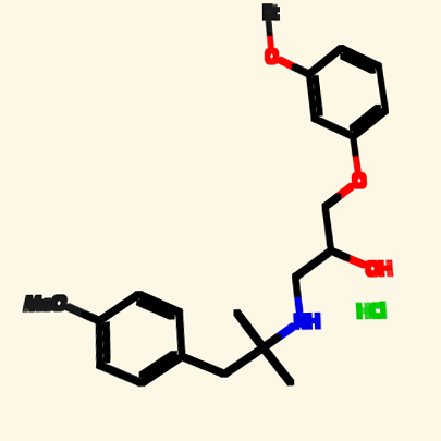 CCOc1cccc(OCC(O)CNC(C)(C)Cc2ccc(OC)cc2)c1.Cl